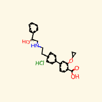 Cl.O=C(O)c1ccc(-c2ccc(CCNC[C@H](O)c3ccccc3)cc2)cc1OC1CC1